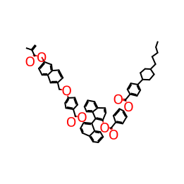 C=C(C)C(=O)Oc1ccc2cc(COc3ccc(C(=O)Oc4ccc5ccccc5c4-c4c(OC(=O)c5ccc(OC(=O)c6ccc(C7CCC(CCCCC)CC7)cc6)cc5)ccc5ccccc45)cc3)ccc2c1